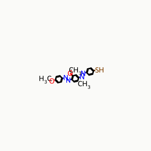 COc1ccc(/N=N/c2cc(C)c(/N=N/c3ccc(S)cc3)cc2OC)cc1